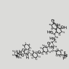 O=C(N[C@@H](c1ccccc1)c1cccc(OCc2ccc(C(=O)N(CCCNC[C@H](O)c3ccc(O)c4[nH]c(=O)ccc34)Cc3ccc(C(F)(F)F)cc3)cc2)c1)O[C@H]1CN2CCC1CC2